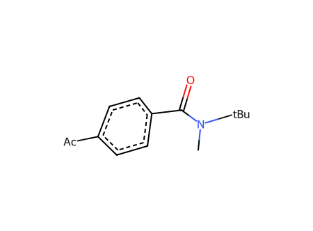 CC(=O)c1ccc(C(=O)N(C)C(C)(C)C)cc1